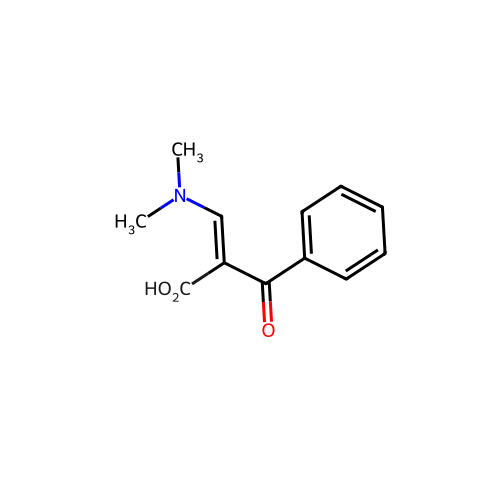 CN(C)C=C(C(=O)O)C(=O)c1ccccc1